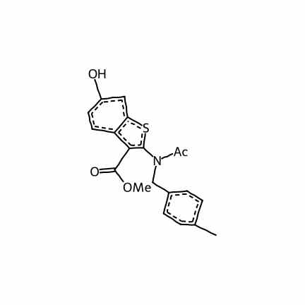 COC(=O)c1c(N(Cc2ccc(C)cc2)C(C)=O)sc2cc(O)ccc12